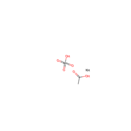 CC(=O)O.[KH].[O]=[Mn](=[O])(=[O])[OH]